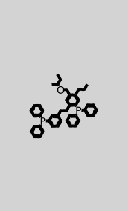 CCCc1cc(P(c2ccccc2)c2ccccc2)c(CCc2cccc(P(c3ccccc3)c3ccccc3)c2)cc1COC(C)CC